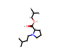 CC(C)CCN1CCCC1C(=O)OCC(C)C